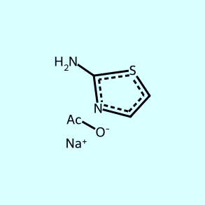 CC(=O)[O-].Nc1nccs1.[Na+]